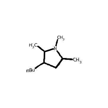 CCCCC1CC(C)N(C)C1C